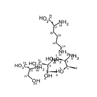 C[C@@H](O)[C@H](N)C(=O)O.C[C@@H](O)[C@H](N)C(=O)O.NCCCC[C@H](N)C(=O)O.N[C@@H](CO)C(=O)O